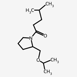 CC(C)CCC(=O)N1CCCC1COC(C)C